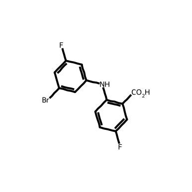 O=C(O)c1cc(F)ccc1Nc1cc(F)cc(Br)c1